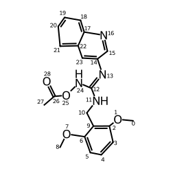 COc1cccc(OC)c1CNC(=Nc1cnc2ccccc2c1)NOC(C)=O